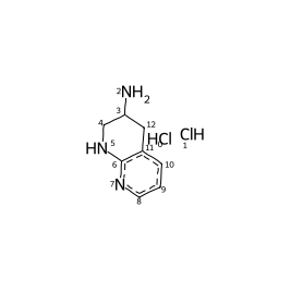 Cl.Cl.NC1CNc2ncccc2C1